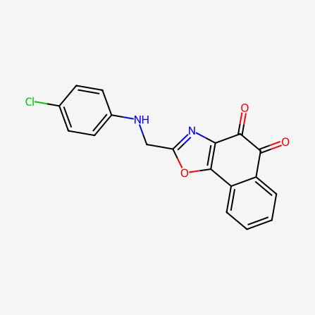 O=C1C(=O)c2nc(CNc3ccc(Cl)cc3)oc2-c2ccccc21